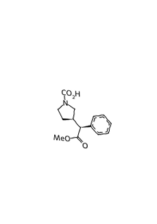 COC(=O)[C@H](c1ccccc1)[C@H]1CCN(C(=O)O)C1